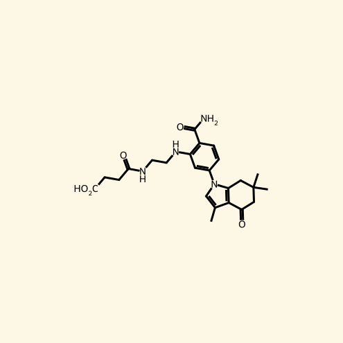 Cc1cn(-c2ccc(C(N)=O)c(NCCNC(=O)CCC(=O)O)c2)c2c1C(=O)CC(C)(C)C2